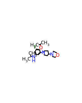 CC(C)Nc1cc(F)c(OC(C)C)c(N2CCC(N3CCOCC3)CC2)c1